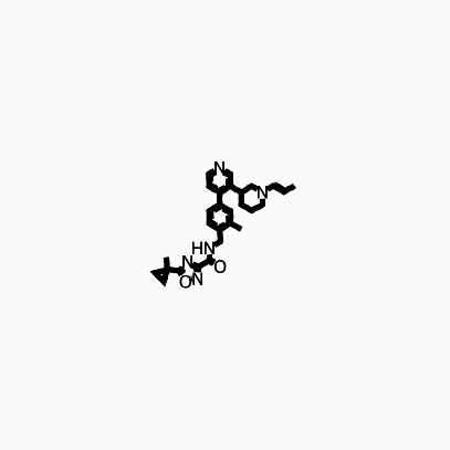 CC=CN1CCCC(c2cnccc2-c2ccc(CNC(=O)c3noc(C4(C)CC4)n3)c(C)c2)C1